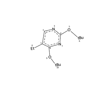 CCc1cnc(OC(C)(C)C)nc1OC(C)(C)C